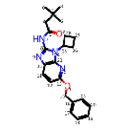 CC(C)(C)CC(=O)Nc1nc2ccc(OCc3ccccc3)nc2n1C1CCC1